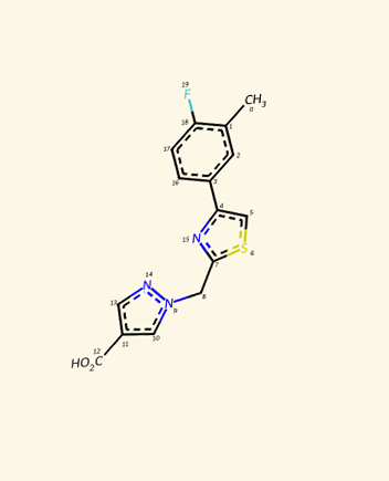 Cc1cc(-c2csc(Cn3cc(C(=O)O)cn3)n2)ccc1F